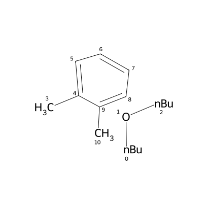 CCCCOCCCC.Cc1ccccc1C